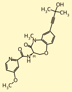 COc1ccnc(C(=O)N[C@@H]2COc3ccc(C#CC(C)(C)O)cc3N(C)C2=O)c1